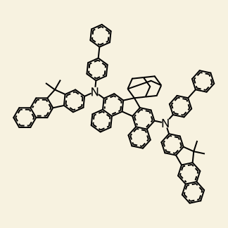 CC1(C)c2cc(N(c3ccc(-c4ccccc4)cc3)c3cc4c(c5ccccc35)-c3c(cc(N(c5ccc(-c6ccccc6)cc5)c5ccc6c(c5)C(C)(C)c5cc7ccccc7cc5-6)c5ccccc35)C43C4CC5CC(C4)CC3C5)ccc2-c2cc3ccccc3cc21